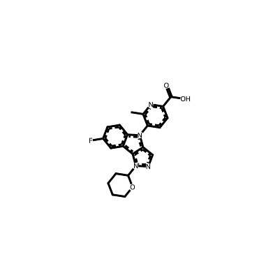 Cc1nc(C(=O)O)ccc1-n1c2ccc(F)cc2c2c1cnn2C1CCCCO1